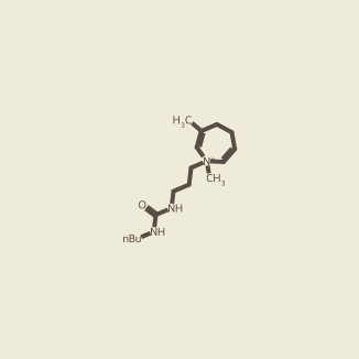 CCCCNC(=O)NCCC[N+]1(C)C=CCCC(C)=C1